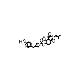 CNc1ccc(CC2CN(C(=O)OC3CCC4(CO4)C([C@@]4(C)O[C@@H]4CC=C(C)C)C3OC)C2)cn1